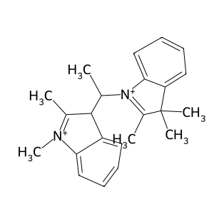 CC1=[N+](C)c2ccccc2C1C(C)[N+]1=C(C)C(C)(C)c2ccccc21